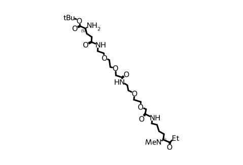 CCC(=O)[C@H](CCCCNC(=O)COCCOCCNC(=O)COCCOCCNC(=O)CC[C@H](N)C(=O)OC(C)(C)C)NC